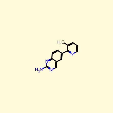 Cc1cccnc1-c1ccc2nc(N)ncc2c1